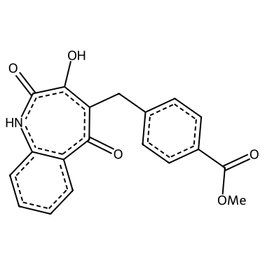 COC(=O)c1ccc(Cc2c(O)c(=O)[nH]c3ccccc3c2=O)cc1